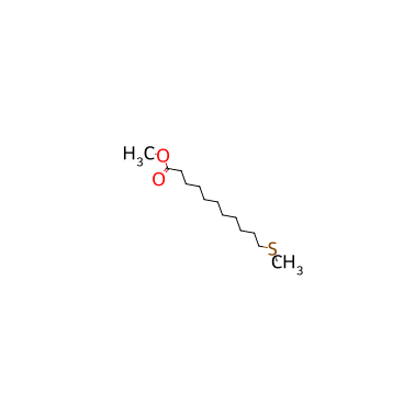 COC(=O)CCCCCCCCCCSC